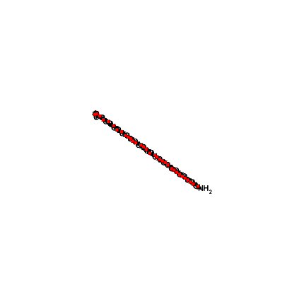 CC(C)(C)OC(=O)CCOCCOCCOCCOCCOCCOCCOCCOCCOCCOCCOCCOCCOCCOCCOCCOCCOCCOCCOCCOCCOCCOCCOCCOCCN